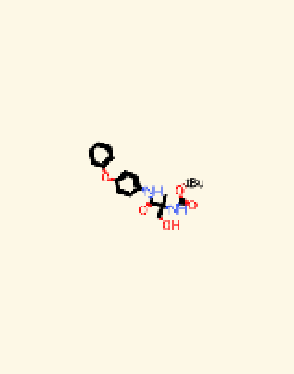 CC(C)(C)OC(=O)NC(C)(CO)C(=O)Nc1ccc(Oc2ccccc2)cc1